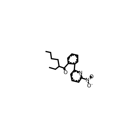 CCCCC(CC)C(=O)c1ccccc1-c1cccc([N+](=O)[O-])n1